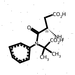 CC(C)(C(=O)O)N(C(=O)[C@@H](N)CC(=O)O)c1ccccc1